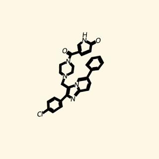 O=C(c1ccc(=O)[nH]c1)N1CCN(Cc2c(-c3ccc(Cl)cc3)nc3ccc(-c4ccccc4)cn23)CC1